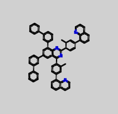 Cc1cc(-c2cccc3cccnc23)ccc1-c1nc(C2C=CC(c3cccc4cccnc34)=CC2C)nc2c(-c3cccc(-c4ccccc4)c3)cc(-c3cccc(-c4ccccc4)c3)cc12